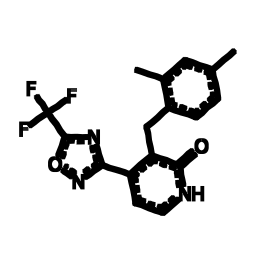 Cc1ccc(Cc2c(-c3noc(C(F)(F)F)n3)cc[nH]c2=O)c(C)c1